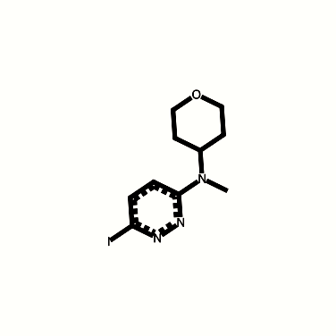 CN(c1ccc(I)nn1)C1CCOCC1